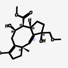 COC[C@@]1(O)CC[C@@H]2/C1=C\[C@@]1(C)CCC(C(C)C)=C1C[C@@H](O)[C@H]2C(=O)OC